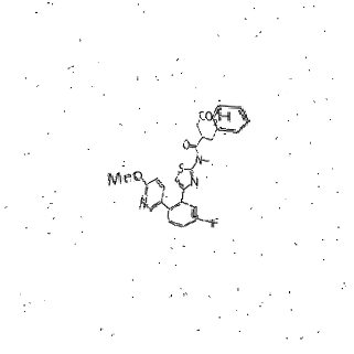 COc1ccc(-c2ccc(F)cc2-c2csc(N(C)C(=O)[C@@H](CC(=O)O)Cc3ccccc3)n2)cn1